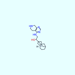 OC(CNc1ncnc2c1CCNC2)C12CC3CCC[C@@H](C1)C(C3)C2